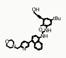 Cc1c(C#CCO)cc(C(C)(C)C)cc1NC(=O)Nc1ccc(-c2ccc(CN3CCOCC3)nc2)c2ccccc12